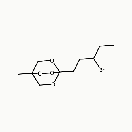 CCC(Br)CCC12OCC(C)(CO1)CO2